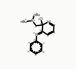 CCCCN(CCCC)CC1(Cl)N=CC=C/C1=N\c1ccccc1